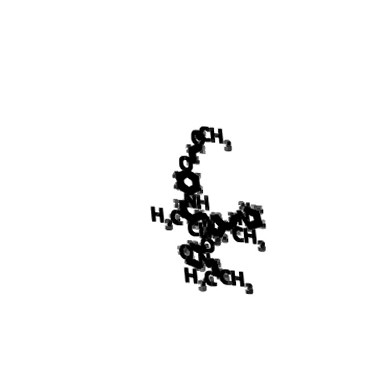 COCCCO[C@H]1CC[C@@H](NCC(C)C(C)CN2CC(C(C)CN3CCCC3)C[C@@H]2COC2COCCN2CC(C)C)CC1